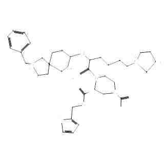 O=C(NCc1cccs1)[C@@H]1CN(C(=O)O)CCN1C(=O)C(CCCCN1CCCC1)NC1CCC2(CC1)CCN(Cc1ccccc1)C2